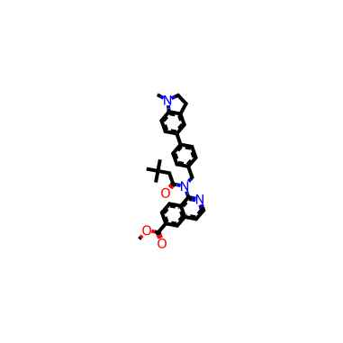 COC(=O)c1ccc2c(N(Cc3ccc(-c4ccc5c(c4)CCN5C)cc3)C(=O)CC(C)(C)C)nccc2c1